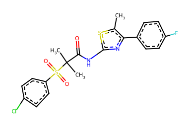 Cc1sc(NC(=O)C(C)(C)S(=O)(=O)c2ccc(Cl)cc2)nc1-c1ccc(F)cc1